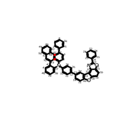 c1ccc(-c2ccc(N(c3ccc(-c4ccc5oc6ccc7oc(-c8ccccc8)nc7c6c5c4)cc3)c3ccccc3-c3ccc4ccccc4c3)cc2)cc1